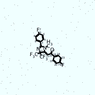 CN1C(c2ccc(F)cc2)=NC(C(F)(F)F)(C(F)(F)F)/C1=C/C(=O)c1ccc(F)cc1